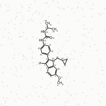 COc1ccc2c(F)c(-c3ccc(NC(=O)NC(C)C)cc3)n(CC3CC3)c2c1